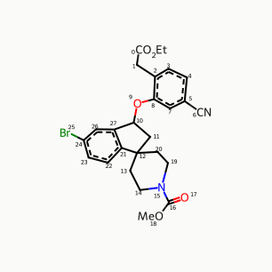 CCOC(=O)Cc1ccc(C#N)cc1OC1CC2(CCN(C(=O)OC)CC2)c2ccc(Br)cc21